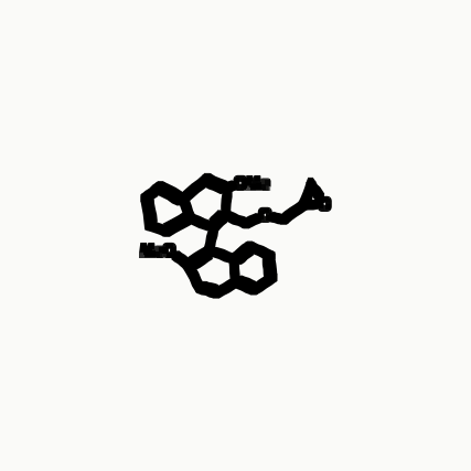 COc1cc2ccccc2c(-c2c(OC)ccc3ccccc23)c1COCC1CO1